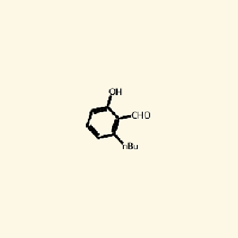 CCCCc1cccc(O)c1C=O